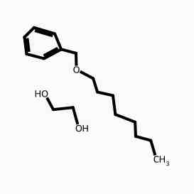 CCCCCCCCOCc1ccccc1.OCCO